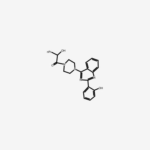 CCCC(O)C(=O)N1CCN(c2nc(-c3ccccc3O)nc3ccccc23)CC1